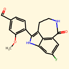 COc1cc(C=O)ccc1-c1[nH]c2cc(F)cc3c2c1CCNC3=O